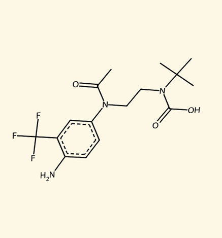 CC(=O)N(CCN(C(=O)O)C(C)(C)C)c1ccc(N)c(C(F)(F)F)c1